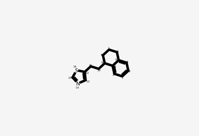 c1ccc2c(c1)CCCC2CCc1cncs1